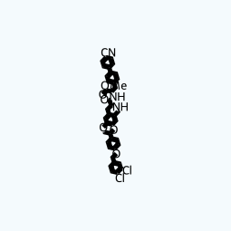 COC(=O)C(Cc1ccc(-c2ccc(C#N)cc2)cc1)NC(=O)C1Cc2cc3c(cc2CN1)OC(c1ccc(OCc2ccc(Cl)c(Cl)c2)cc1)CO3